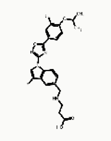 CC(C)Oc1ccc(-c2nc(-n3cc(F)c4cc(CNCCC(=O)O)ccc43)no2)cc1Cl